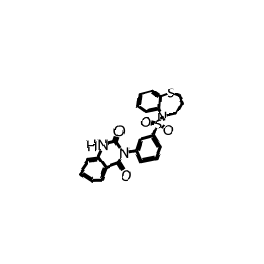 O=c1[nH]c2ccccc2c(=O)n1-c1cccc(S(=O)(=O)N2CCCSc3ccccc32)c1